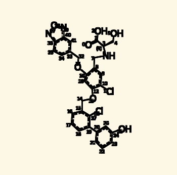 O=C(O)[C@@H](CO)NCc1cc(Cl)c(OCc2cccc(-c3cccc(O)c3)c2Cl)cc1OCc1ccc2nonc2c1